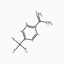 C=C(C)c1ccc(C(F)(F)F)cn1